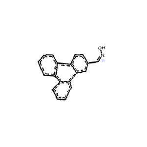 O/N=C\c1ccc2c3ccccc3c3ccccc3c2c1